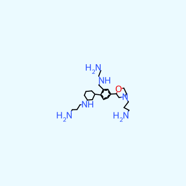 NCCCNC1CCCC(c2ccc(C3CN(CCCN)CCO3)cc2CNCCN)C1